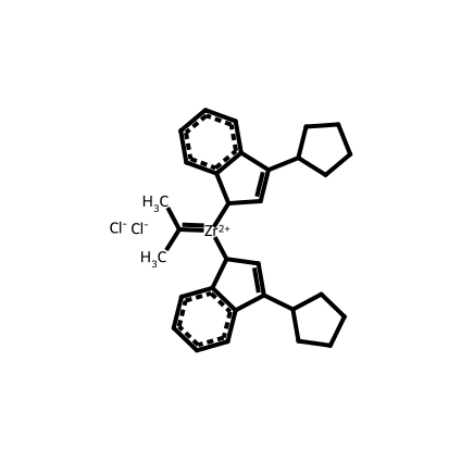 C[C](C)=[Zr+2]([CH]1C=C(C2CCCC2)c2ccccc21)[CH]1C=C(C2CCCC2)c2ccccc21.[Cl-].[Cl-]